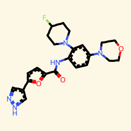 O=C(Nc1ccc(N2CCOCC2)cc1N1CCC(F)CC1)c1ccc(-c2cn[nH]c2)o1